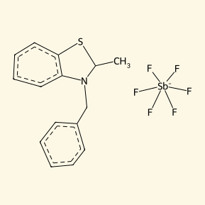 CC1Sc2ccccc2N1Cc1ccccc1.[F][Sb-]([F])([F])([F])([F])[F]